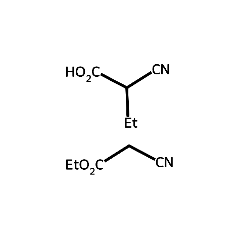 CCC(C#N)C(=O)O.CCOC(=O)CC#N